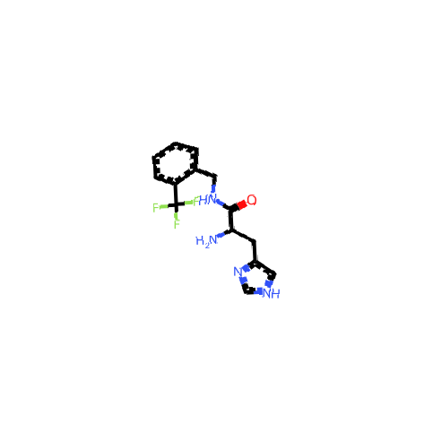 NC(Cc1c[nH]cn1)C(=O)NCc1ccccc1C(F)(F)F